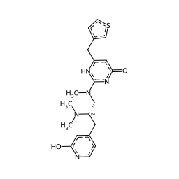 CN(C[C@H](Cc1ccnc(O)c1)N(C)C)c1nc(=O)cc(Cc2ccsc2)[nH]1